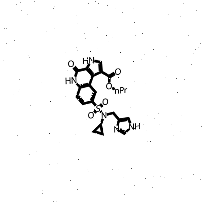 CCCOC(=O)c1c[nH]c2c(=O)[nH]c3ccc(S(=O)(=O)N(Cc4c[nH]cn4)C4CC4)cc3c12